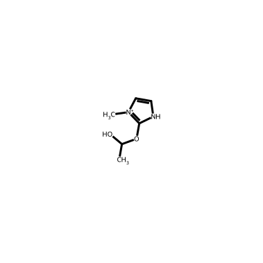 CC(O)Oc1[nH]cc[n+]1C